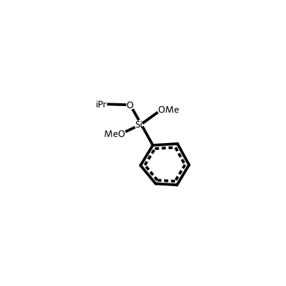 CO[Si](OC)(OC(C)C)c1ccccc1